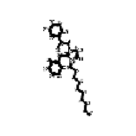 CCCCCCCCCCn1cc[n+](CC(C)c2ccccc2)c1Cc1ccccc1